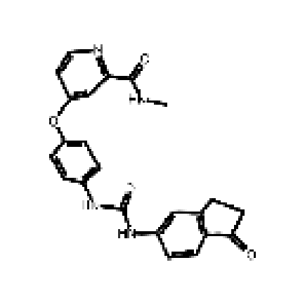 CNC(=O)c1cc(Oc2ccc(NC(=O)Nc3ccc4c(c3)CCC4=O)cc2)ccn1